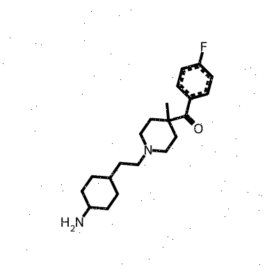 CC1(C(=O)c2ccc(F)cc2)CCN(CCC2CCC(N)CC2)CC1